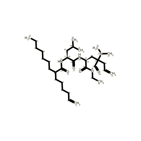 C=CCCCCC(CCCCCCC)C(=O)N[C@@H](CC(C)C)C(=O)N[C@@H](CC(C=O)(CC=C)N(C)C)C(=O)OCC